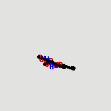 CC(C)(C)OC(=O)NCCCC[C@H](NC(=O)OC(C)(C)C)C(=O)NCCCC(=O)ONC(=O)Cc1ccc(CCCCc2ccccc2)cc1